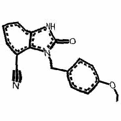 COc1ccc(Cn2c(=O)[nH]c3cccc(C#N)c32)cc1